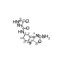 C[C@@]1(c2cc(NC(=O)c3n[nH]cc3Cl)ccc2F)CCOC(N)=N1